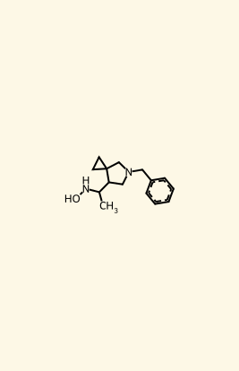 CC(NO)C1CN(Cc2ccccc2)CC12CC2